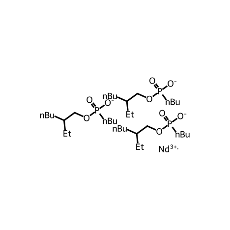 CCCCC(CC)COP(=O)([O-])CCCC.CCCCC(CC)COP(=O)([O-])CCCC.CCCCC(CC)COP(=O)([O-])CCCC.[Nd+3]